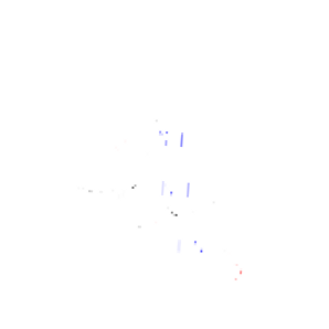 [CH2]CCCC[C@H](NC(=O)[C@H]1CCC(=O)N1)C(=O)Nc1ccccc1